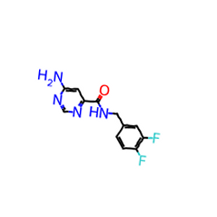 Nc1cc(C(=O)NCc2ccc(F)c(F)c2)ncn1